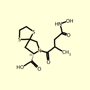 CC(CC(=O)NO)C(=O)N1CC2(C[C@H]1C(=O)O)SCCS2